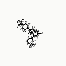 Cc1cc(C2CCCS(=O)(=O)C2)n2nc(C3CCC(C(F)(F)F)CC3)cc2n1